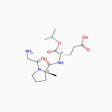 CC(C)OC(=O)[C@H](CCC(=O)O)NC(=O)[C@]1(C)CCCN1C(=O)CN